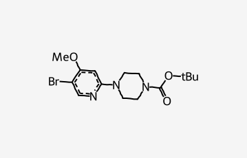 COc1cc(N2CCN(C(=O)OC(C)(C)C)CC2)ncc1Br